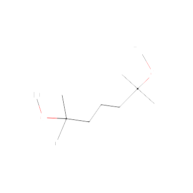 [CH2]CCC(C)(CCCC(C)(C)OCC)OCC